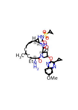 CC[C@@H]1C[C@H](C)CCC=C[C@@H]2C[C@@]2(C(=O)NS(=O)(=O)C2CC2)NC(=O)[C@@H]2C[C@@H](Oc3nc4ccc(OC)cc4nc3C3CC3)CN2C(=O)[C@H]1N